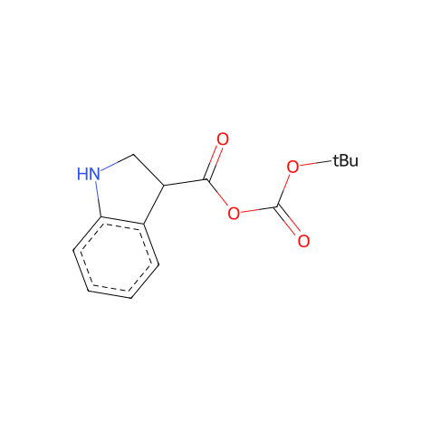 CC(C)(C)OC(=O)OC(=O)C1CNc2ccccc21